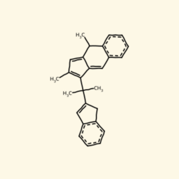 CC1=C(C(C)(C)C2=Cc3ccccc3C2)C2=Cc3ccccc3C(C)C2=C1